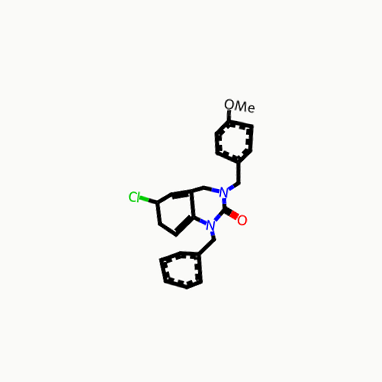 COc1ccc(CN2CC3=CC(Cl)CC=C3N(Cc3ccccc3)C2=O)cc1